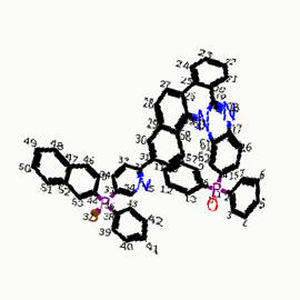 O=P(c1ccccc1)(c1ccccc1)c1ccc2nc3c4ccccc4c4ccc5cc(-c6ccc(P(=S)(c7ccccc7)c7ccc8ccccc8c7)cn6)ccc5c4n3c2c1